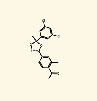 CC(=O)c1ccc(C2=NOC(C)(c3cc(Cl)cc(Cl)c3)O2)cc1C